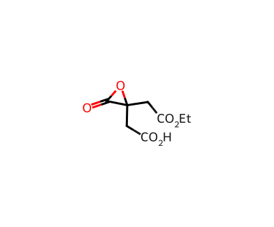 CCOC(=O)CC1(CC(=O)O)OC1=O